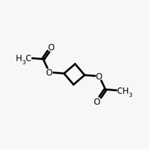 CC(=O)OC1CC(OC(C)=O)C1